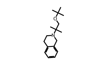 CC(C)(C)OCC(C)(C)N1CCc2ccccc2C1